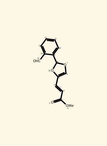 COC(=O)/C=C/C1=COC(c2ccccc2C=O)O1